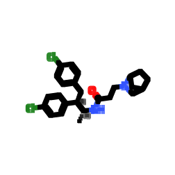 C[C@@H](NC(=O)CCN1CC2CCC1C2)[C@H](Cc1ccc(Cl)cc1)c1ccc(Cl)cc1